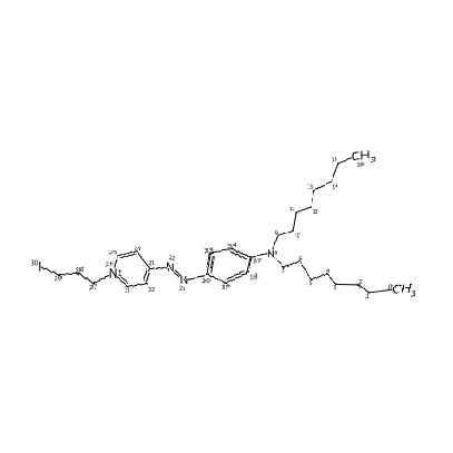 CCCCCCCCN(CCCCCCCC)c1ccc(/N=N/c2cc[n+](CCCI)cc2)cc1